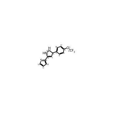 FC(F)(F)Oc1ccc(C2C=C(c3cccs3)NN2)cc1